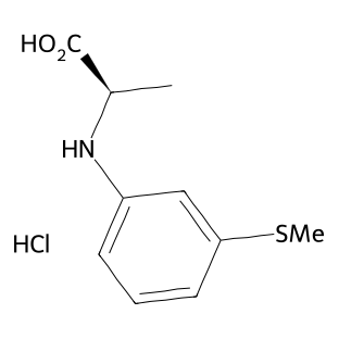 CSc1cccc(N[C@H](C)C(=O)O)c1.Cl